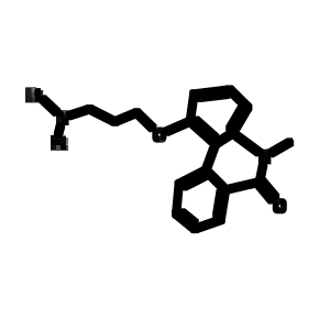 CCN(CC)CCCOc1cccc2c1c1ccccc1c(=O)n2C